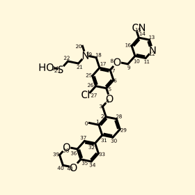 Cc1c(COc2cc(OCc3cncc(C#N)c3)c(CN(C)CCSO)cc2Cl)cccc1-c1ccc2c(c1)OCCO2